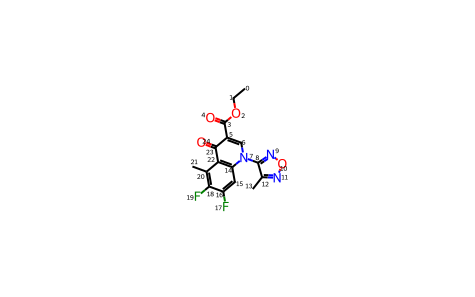 CCOC(=O)c1cn(-c2nonc2C)c2cc(F)c(F)c(C)c2c1=O